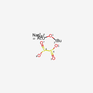 CC(=O)OOC(C)(C)C.O=S([O-])S(=O)[O-].[Na+].[Na+]